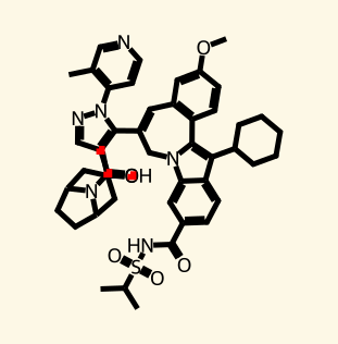 COc1ccc2c(c1)C=C(c1c(C(=O)N3C4CCC3CC(C)(O)C4)cnn1-c1ccncc1C)Cn1c-2c(C2CCCCC2)c2ccc(C(=O)NS(=O)(=O)C(C)C)cc21